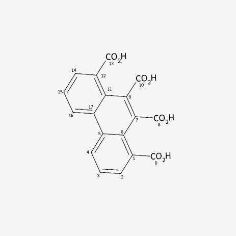 O=C(O)c1cccc2c1c(C(=O)O)c(C(=O)O)c1c(C(=O)O)cccc12